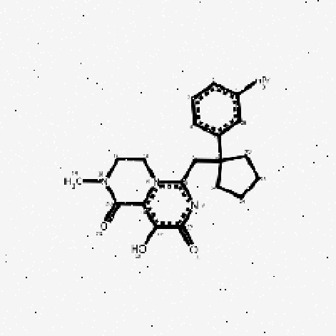 CCCc1cccc(C2(Cc3nc(=O)c(O)c4n3CCN(C)C4=O)CCCC2)c1